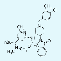 CCCCC(c1cc(C)nc(NC(=O)[C@H]2c3ccccc3C(=O)N2C2CCN(Cc3ccc(Cl)c(C)c3)CC2)c1)N(C)C